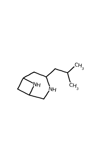 CC(C)CC1CC2CC(CN1)N2